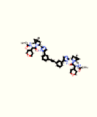 COC(=O)N[C@H](C(=O)N1[C@@H]2C[C@@H]2C[C@H]1c1ncc(-c2cccc(C#Cc3cccc(-c4cnc([C@@H]5C[C@H]6C[C@H]6N5C(=O)[C@@H](NC(=O)OC)C5CCOCC5)[nH]4)c3)c2)[nH]1)C1CCOCC1